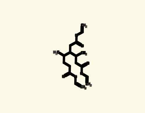 C=COC(=O)CCC(C)C(CC(=O)OC=C)C(C)CC(=O)OC=C